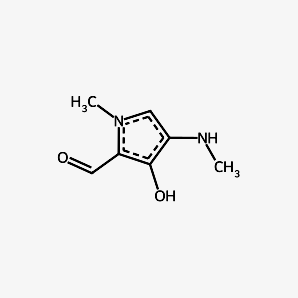 CNc1cn(C)c(C=O)c1O